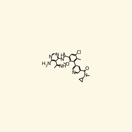 COc1c(C(C)Nc2ncnc(N)c2C(C)=N)cc(Cl)c(C)c1-c1cncc(C(=O)N(C)C2CC2)c1